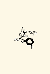 CCOC(=O)[C@H](C)NP(=O)(Oc1cccc(F)c1)C(C)(C)C